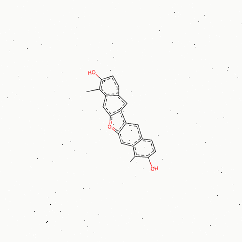 Cc1c(O)ccc2cc3c(cc12)oc1cc2c(C)c(O)ccc2cc13